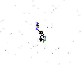 CNCC1Cc2ccc(CCNS(=O)(=O)c3cnn(C)c3)cc2C1Cc1cccc(C(F)(F)F)c1